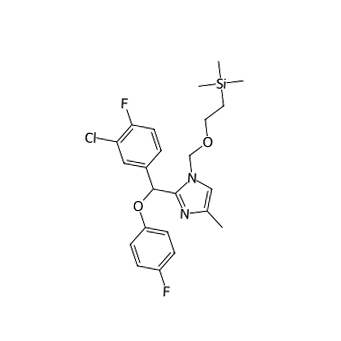 Cc1cn(COCC[Si](C)(C)C)c(C(Oc2ccc(F)cc2)c2ccc(F)c(Cl)c2)n1